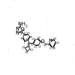 Nc1nnc(-c2ccc(C(c3ccc(OCc4ccccn4)cc3)C3CCC3)cc2)o1